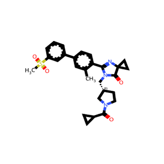 Cc1cc(-c2cccc(S(C)(=O)=O)c2)ccc1C1=NC2(CC2)C(=O)N1C[C@@H]1CCN(C(=O)C2CC2)C1